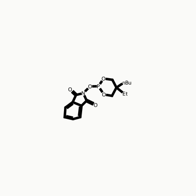 CCCCC1(CC)COP(ON2C(=O)c3ccccc3C2=O)OC1